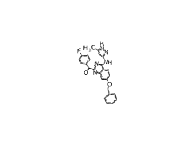 Cc1cc(Nc2nc(C(=O)c3ccc(F)cc3)nc3cc(OCc4ccccc4)ccc23)n[nH]1